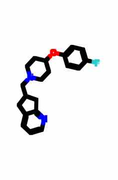 Fc1ccc(OC2CCN(CC3Cc4cccnc4C3)CC2)cc1